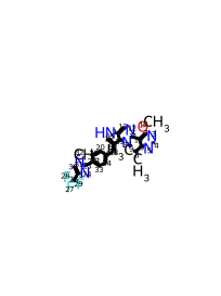 COc1ncnc(C(C)C)c1-c1ncc2[nH]cc(Cc3ccc(-c4nc(C(F)(F)F)cn4C)cc3)c2n1